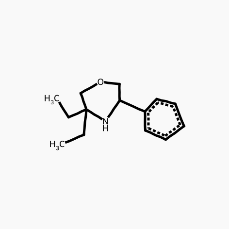 CCC1(CC)COCC(c2ccccc2)N1